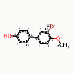 COc1ccc(-c2ccc(O)cc2)cc1Br